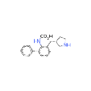 O=C(O)Nc1c(CC2CCNC2)cccc1-c1ccccc1